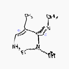 CCCN(CC)C(=N/C)/C(C)=C\N